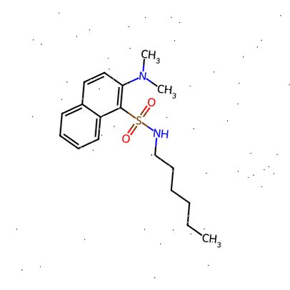 CCCCC[CH]NS(=O)(=O)c1c(N(C)C)ccc2ccccc12